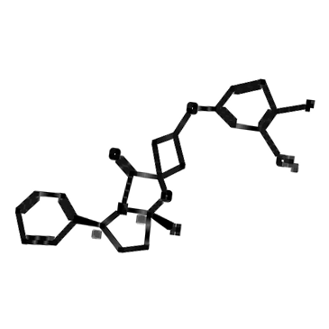 Cc1cc(OC2CC3(C2)O[C@@H]2CC[C@@H](c4ccccc4)N2C3=O)ccc1F